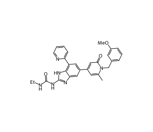 CCNC(=O)Nc1nc2cc(-c3cc(C)n(Cc4cccc(OC)c4)c(=O)c3)cc(-c3ccccn3)c2[nH]1